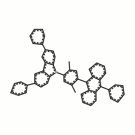 Cc1cc(-n2c3ccc(-c4ccccc4)cc3c3cc(-c4ccccc4)ccc32)c(C)cc1-c1c2ccccc2c(-c2ccccc2)c2ccccc12